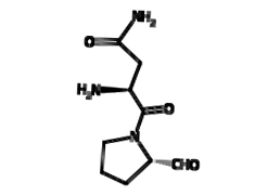 NC(=O)C[C@H](N)C(=O)N1CCC[C@H]1C=O